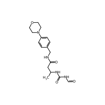 CC(CC(=O)NCc1ccc(N2CCOCC2)cc1)NC(=O)NC=O